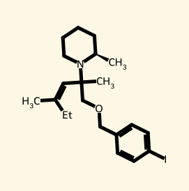 CC/C(C)=C\C(C)(COCc1ccc(I)cc1)N1CCCC[C@H]1C